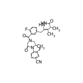 CC1=C(Cc2ccc(F)c(C(=O)N3CC(=O)N(c4ccc(C#N)cc4F)[C@H](C)C3)c2)NNC(=O)C1C